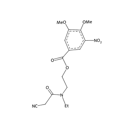 CCN(CCOC(=O)c1cc(OC)c(OC)c([N+](=O)[O-])c1)C(=O)CC#N